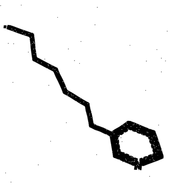 [CH2]CCCCCCc1cccnc1